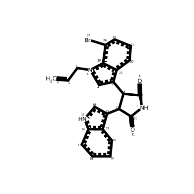 C=CCn1cc(C2C(=O)NC(=O)C2c2c[nH]c3ccccc23)c2cccc(Br)c21